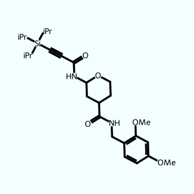 COc1ccc(CNC(=O)C2CCOC(NC(=O)C#C[Si](C(C)C)(C(C)C)C(C)C)C2)c(OC)c1